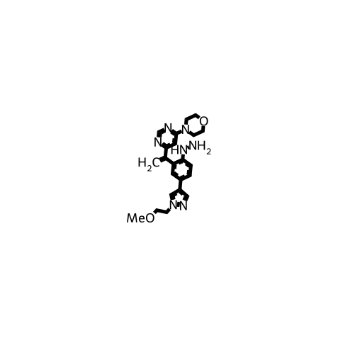 C=C(c1cc(N2CCOCC2)ncn1)c1cc(-c2cnn(CCOC)c2)ccc1NN